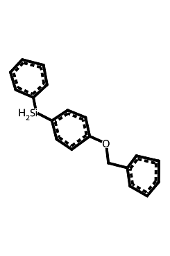 c1ccc(COc2ccc([SiH2]c3ccccc3)cc2)cc1